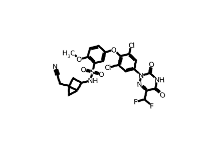 COc1ccc(Oc2c(Cl)cc(-n3nc(C(F)F)c(=O)[nH]c3=O)cc2Cl)cc1S(=O)(=O)NC1CC2(CC#N)CC12